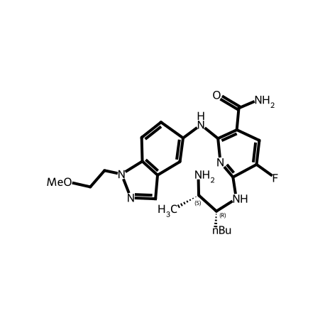 CCCC[C@@H](Nc1nc(Nc2ccc3c(cnn3CCOC)c2)c(C(N)=O)cc1F)[C@H](C)N